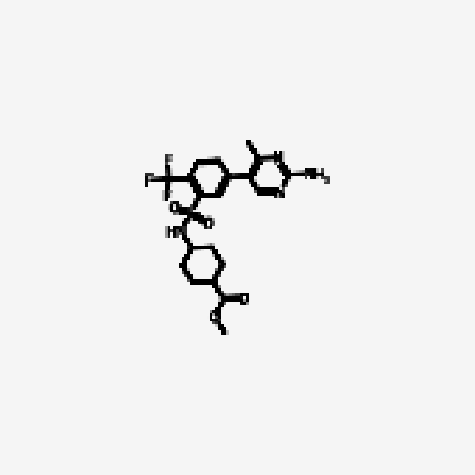 COC(=O)C1CCC(NS(=O)(=O)c2cc(-c3cnc(N)nc3C)ccc2C(F)(F)F)CC1